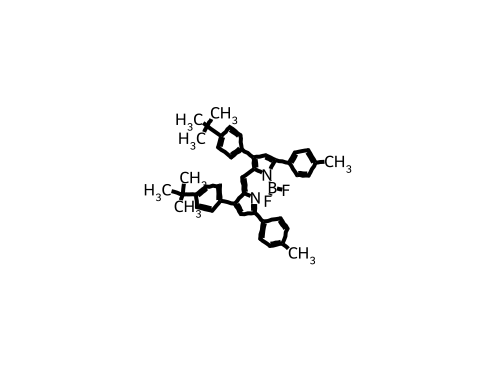 Cc1ccc(C2=N/C(=C\c3c(-c4ccc(C(C)(C)C)cc4)cc(-c4ccc(C)cc4)n3B(F)F)C(c3ccc(C(C)(C)C)cc3)=C2)cc1